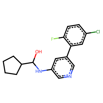 OC(Nc1cncc(-c2cc(Cl)ccc2F)c1)C1CCCC1